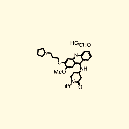 COc1cc2c(NC3CCN(C(C)C)C(=O)C3)c3ccccc3nc2cc1OCCCN1CCCC1.O=CO